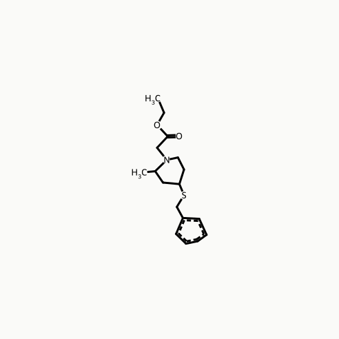 CCOC(=O)CN1CCC(SCc2ccccc2)CC1C